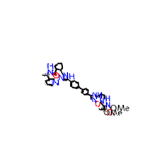 COC(=O)N[C@H](C(=O)N1CCC[C@H]1c1ncc(-c2ccc(-c3ccc(-c4cnc(C5CCCCC5C(=O)N[C@H](C)c5cccnc5)[nH]4)cc3)cc2)[nH]1)[C@@H](C)OC